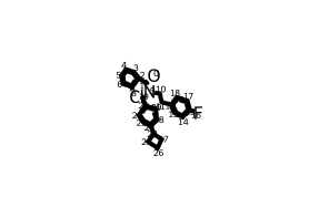 O=C(c1ccccc1Cl)N(CCc1ccc(F)cc1)Cc1ccc(C2CCC2)cc1